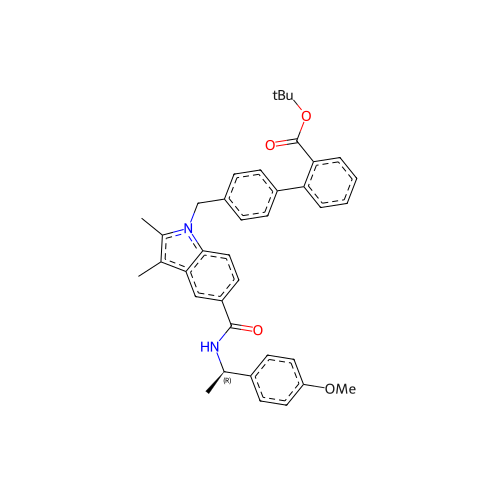 COc1ccc([C@@H](C)NC(=O)c2ccc3c(c2)c(C)c(C)n3Cc2ccc(-c3ccccc3C(=O)OC(C)(C)C)cc2)cc1